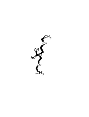 CCOCCS(CCOCC)=C(O)O